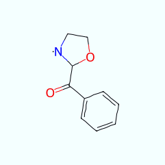 O=C(c1ccccc1)C1[N]CCO1